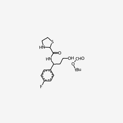 CC(C)(C)OC=O.O=C(NC(CCO)c1ccc(F)cc1)C1NCCS1